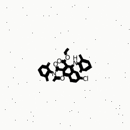 CCOC(=O)c1c(C(=O)N(C(C)=O)c2c(C)cccc2C)cc2ccc(Cl)cc2c1Nc1c(C)cccc1C